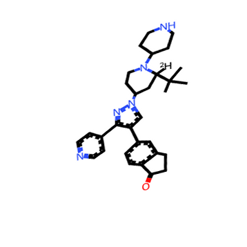 [2H]C1(C(C)(C)C)CC(n2cc(-c3ccc4c(c3)CCC4=O)c(-c3ccncc3)n2)CCN1C1CCNCC1